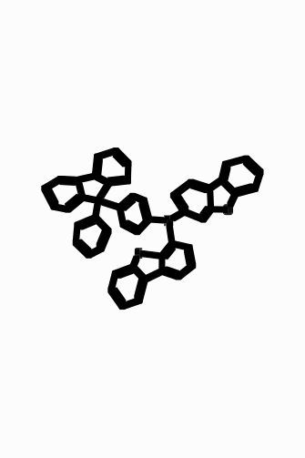 c1ccc(C2(c3ccc(N(c4ccc5c(c4)oc4ccccc45)c4cccc5c4sc4ccccc45)cc3)c3ccccc3-c3ccccc32)cc1